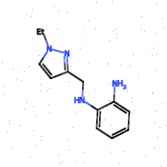 CCn1ccc(CNc2ccccc2N)n1